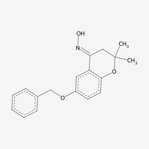 CC1(C)CC(=NO)c2cc(OCc3ccccc3)ccc2O1